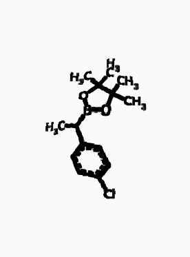 CC(B1OC(C)(C)C(C)(C)O1)c1ccc(Cl)cc1